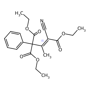 CCOC(=O)/C(C#N)=C(\C)C(C(=O)OCC)(C(=O)OCC)c1ccccc1